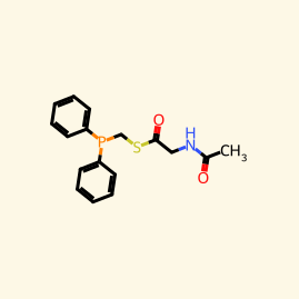 CC(=O)NCC(=O)SCP(c1ccccc1)c1ccccc1